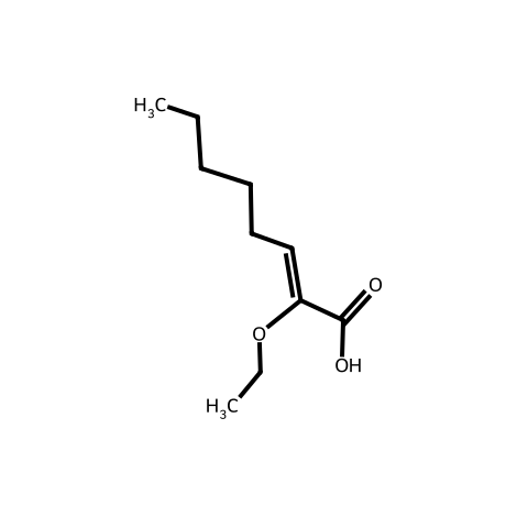 CCCCC/C=C(\OCC)C(=O)O